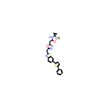 N#CC1(NC(=O)Cc2nnc(Cc3nc4ccc(-c5ccc(-c6ccccc6)s5)cc4s3)o2)CC1